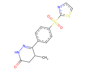 CC1CC(=O)NN=C1c1ccc(S(=O)(=O)c2nccs2)cc1